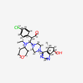 CCN(C1CCOCC1)C(C(C=O)c1ccc(Cl)cc1)N1CCN(c2ncnc3c2[C@H](C)C[C@H]3O)CC1